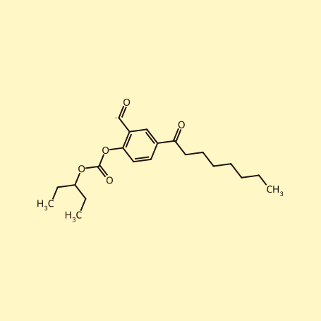 CCCCCCCC(=O)c1ccc(OC(=O)OC(CC)CC)c([C]=O)c1